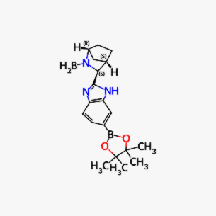 BN1[C@@H]2CC[C@@H](C2)[C@H]1c1nc2ccc(B3OC(C)(C)C(C)(C)O3)cc2[nH]1